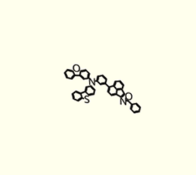 c1ccc(-c2nc3c(o2)-c2cccc4c(-c5cccc(N(c6ccc7oc8ccccc8c7c6)c6ccc7sc8ccccc8c7c6)c5)ccc-3c24)cc1